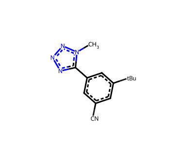 Cn1nnnc1-c1cc(C#N)cc(C(C)(C)C)c1